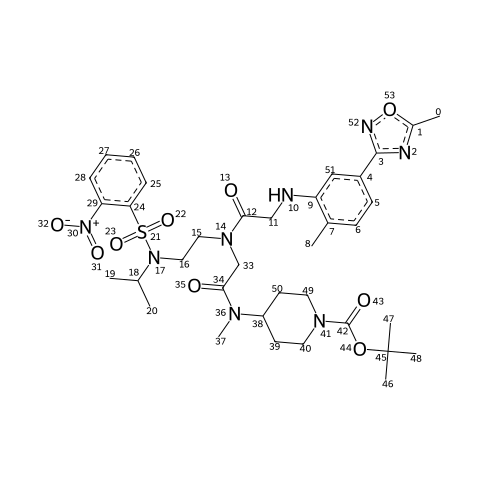 Cc1nc(-c2ccc(C)c(NCC(=O)N(CCN(C(C)C)S(=O)(=O)c3ccccc3[N+](=O)[O-])CC(=O)N(C)C3CCN(C(=O)OC(C)(C)C)CC3)c2)no1